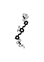 C=CC(=O)Oc1cccc(/C=C/c2ccc(/C=C/c3cccc(OC(=O)C=C)c3)c(F)c2F)c1